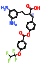 Nc1cc(N)cc(CC/C(=C\c2ccc(OC(=O)c3ccc(OC(F)(F)C(F)F)cc3)cc2)C(=O)O)c1